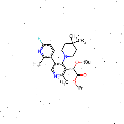 Cc1nc(F)ccc1-c1cnc(C)c(C(OC(C)(C)C)C(=O)OC(C)C)c1N1CCC(C)(C)CC1